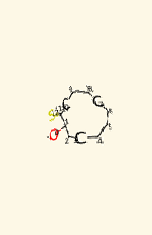 [O]C1CCCCCCCCCC1=S